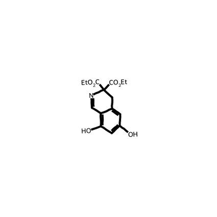 CCOC(=O)C1(C(=O)OCC)Cc2cc(O)cc(O)c2C=N1